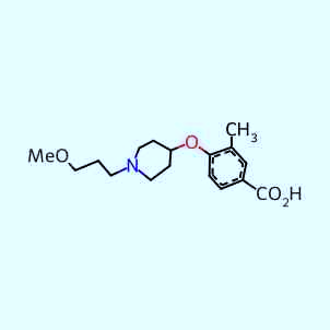 COCCCN1CCC(Oc2ccc(C(=O)O)cc2C)CC1